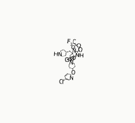 O=C1NC(=O)C(CC2CCNCC2)(CS(=O)(=O)N2CCC(Oc3ccc(Cl)cn3)CC2)N1OC(=O)C(F)(F)F